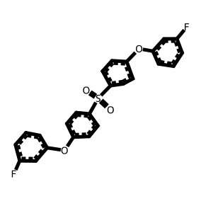 O=S(=O)(c1ccc(Oc2cccc(F)c2)cc1)c1ccc(Oc2cccc(F)c2)cc1